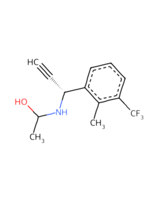 C#C[C@@H](NC(C)O)c1cccc(C(F)(F)F)c1C